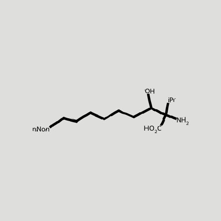 CCCCCCCCCCCCCCCC(O)C(N)(C(=O)O)C(C)C